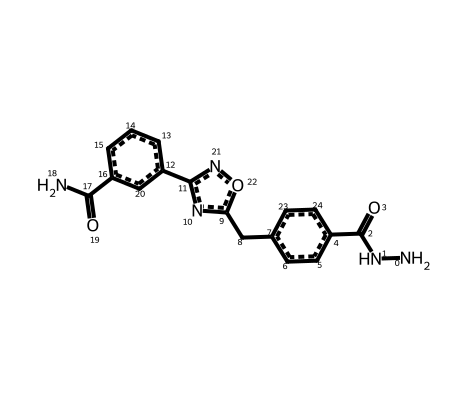 NNC(=O)c1ccc(Cc2nc(-c3cccc(C(N)=O)c3)no2)cc1